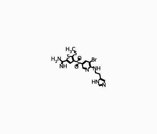 CSc1sc(C(=N)N)cc1S(=O)(=O)c1cnc(NCCc2cnc[nH]2)c(Br)c1